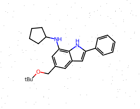 CC(C)(C)OCc1cc(NC2CCCC2)c2[nH]c(-c3ccccc3)cc2c1